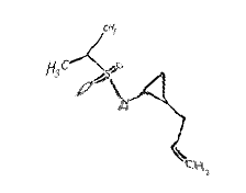 C=CCC1CC1NS(=O)(=O)C(C)C